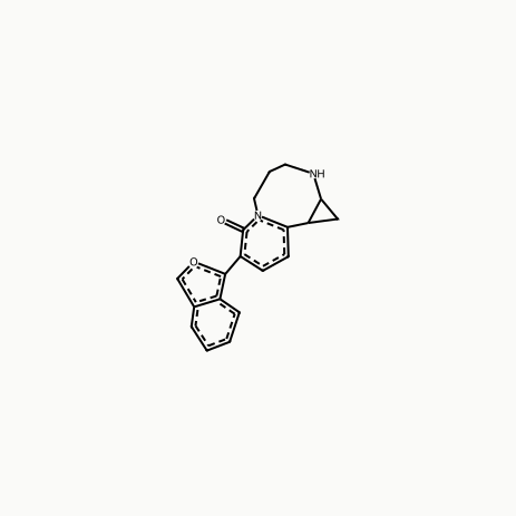 O=c1c(-c2occ3ccccc23)ccc2n1CCCNC1CC21